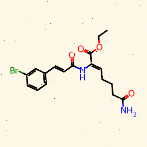 CCOC(=O)/C(=C/CCCC(N)=O)NC(=O)/C=C/c1cccc(Br)c1